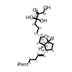 CCCC(C)CCC=C[C@H]1CC[C@H]2O[C@@H](CCCC(O)(O)C(=O)CO)C[C@H]12